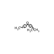 CCCN1CCC(C(=O)N2CCN(CC(C)C)CC2)CC1